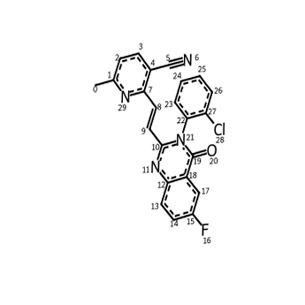 Cc1ccc(C#N)c(C=Cc2nc3ccc(F)cc3c(=O)n2-c2ccccc2Cl)n1